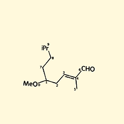 COC(CC=C(C)C=O)CCC(C)C